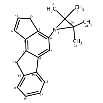 CC1(C)N(c2cc3c(c4c2CC=C4)Cc2ccccc2-3)C1(C)C